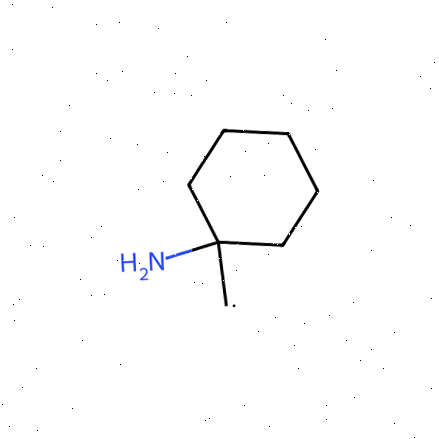 [CH2]C1(N)CCCCC1